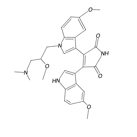 COc1ccc2[nH]cc(C3=C(c4cn(CC(CN(C)C)OC)c5ccc(OC)cc45)C(=O)NC3=O)c2c1